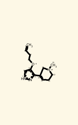 C=CCCOc1c[nH]nc1C1=CCCN(C)C1